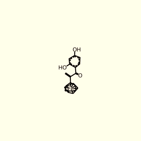 C=C(C(=O)c1ccc(O)cc1O)[C]12[CH]3[CH]4[CH]5[CH]1[Fe]45321678[CH]2[CH]1[CH]6[CH]7[CH]28